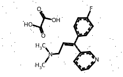 CN(C)CC=C(c1ccc(F)cc1)c1cccnc1.O=C(O)C(=O)O